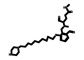 CNC(=O)CCC(C=O)N(C)Cc1c(C=O)cccc1SCCCCCCCCCCN1CCNCC1